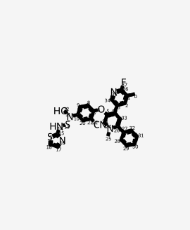 Cc1cc(C2=C(Oc3ccc(N(O)SNc4nccs4)cc3C#N)CN(C)C(c3ccccc3)=C2)cnc1F